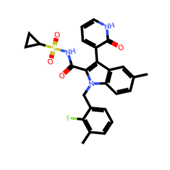 Cc1ccc2c(c1)c(-c1ccc[nH]c1=O)c(C(=O)NS(=O)(=O)C1CC1)n2Cc1cccc(C)c1F